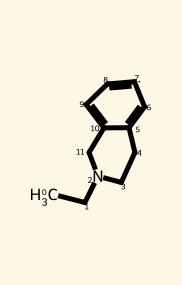 CCN1CCc2c[c]ccc2C1